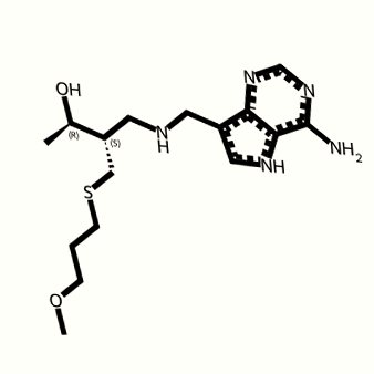 COCCCSC[C@@H](CNCc1c[nH]c2c(N)ncnc12)[C@@H](C)O